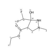 CCOC(=O)C1CN(C)NC1(O)C(F)F